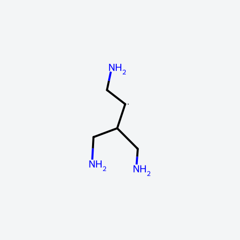 NC[CH]C(CN)CN